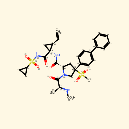 C=C[C@@H]1C[C@]1(NC(=O)[C@@H]1C[C@](c2ccc(-c3ccccc3)cc2)(S(=O)(=O)CCCC)CN1C(=O)[C@@H](NC(=O)O)C(C)(C)C)C(=O)NS(=O)(=O)C1CC1